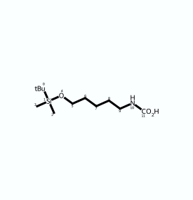 CC(C)(C)[Si](C)(C)OCCCCCNC(=O)O